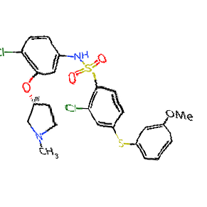 COc1cccc(Sc2ccc(S(=O)(=O)Nc3ccc(Cl)c(O[C@@H]4CCN(C)C4)c3)c(Cl)c2)c1